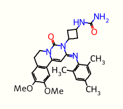 COc1cc2c(cc1OC)-c1c/c(=N\c3c(C)cc(C)cc3C)n(C3CC(NC(N)=O)C3)c(=O)n1CC2